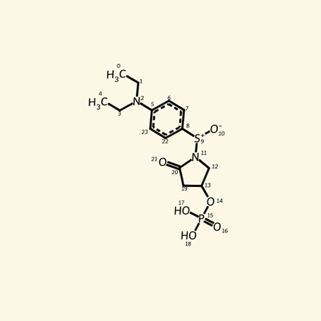 CCN(CC)c1ccc([S+]([O-])N2CC(OP(=O)(O)O)CC2=O)cc1